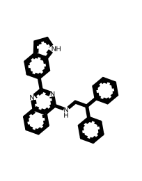 c1ccc(C(CNc2nc(-c3ccc4cc[nH]c4c3)nc3ccccc23)c2ccccc2)cc1